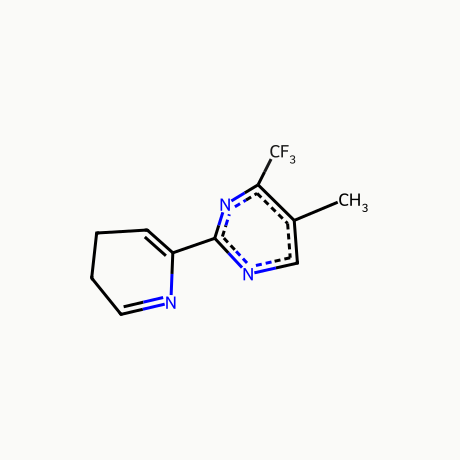 Cc1cnc(C2=CCCC=N2)nc1C(F)(F)F